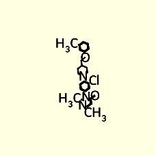 Cc1cccc(OCC2CCN(c3ccc(-n4c(C)nc(C)cc4=O)cc3Cl)CC2)c1